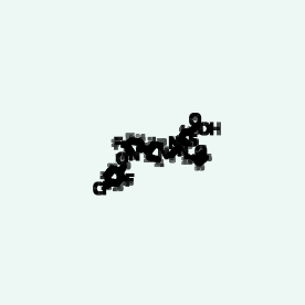 O=C(O)c1cc2nc(CN3CC=C(c4ccc(F)c(OCc5ccc(Cl)cc5F)n4)CC3)n(C[C@@H]3CCO3)c2s1